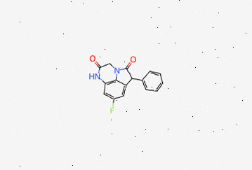 O=C1CN2C(=O)C(c3ccccc3)c3cc(F)cc(c32)N1